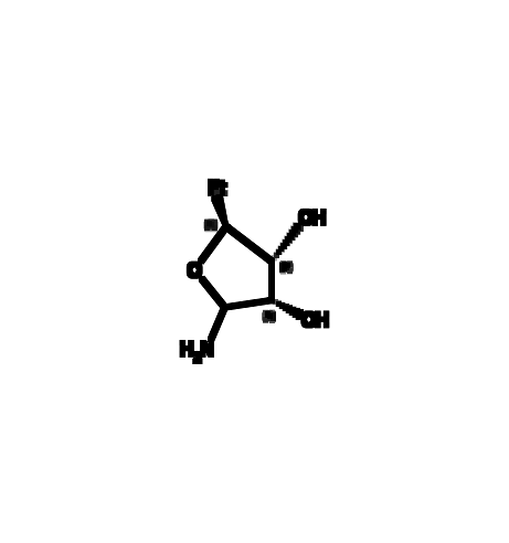 CC[C@@H]1OC(N)[C@@H](O)[C@H]1O